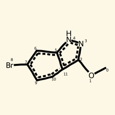 COc1n[nH]c2cc(Br)ccc12